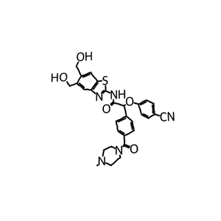 CN1CCN(C(=O)c2ccc(C(Oc3ccc(C#N)cc3)C(=O)Nc3nc4cc(CO)c(CO)cc4s3)cc2)CC1